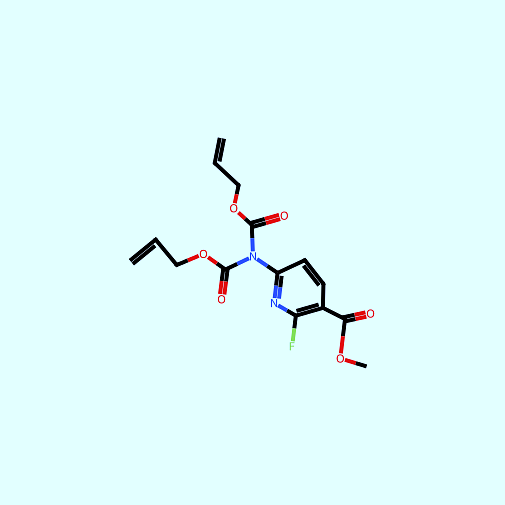 C=CCOC(=O)N(C(=O)OCC=C)c1ccc(C(=O)OC)c(F)n1